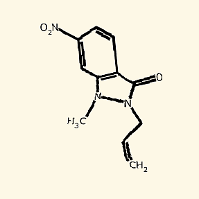 C=CCn1c(=O)c2ccc([N+](=O)[O-])cc2n1C